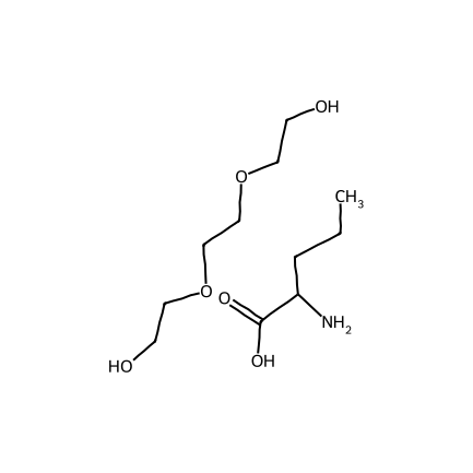 CCCC(N)C(=O)O.OCCOCCOCCO